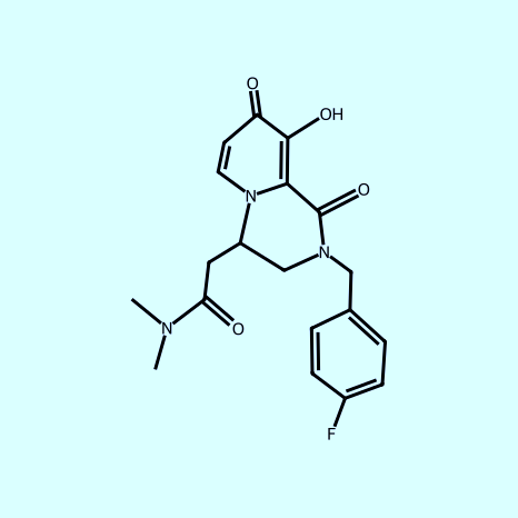 CN(C)C(=O)CC1CN(Cc2ccc(F)cc2)C(=O)c2c(O)c(=O)ccn21